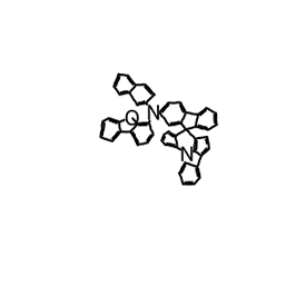 c1ccc2c(c1)-c1ccc(N(c3ccc4ccccc4c3)c3cccc4c3oc3ccccc34)cc1C21c2ccccc2-n2c3ccccc3c3cccc1c32